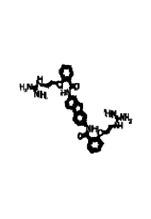 N=C(N)NCCOc1ccccc1C(=O)Nc1ccc2c(c1)Cc1cc(NC(=O)c3ccccc3OCCNC(=N)N)ccc1-2